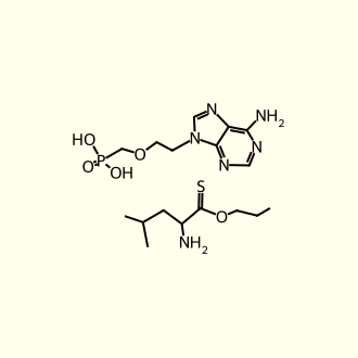 CCCOC(=S)C(N)CC(C)C.Nc1ncnc2c1ncn2CCOCP(=O)(O)O